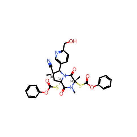 CN1C(=O)[C@@]2(SC(=O)Oc3ccccc3)C[C@](C)(C#N)C(c3ccc(CO)nc3)N2C(=O)[C@]1(C)SC(=O)Oc1ccccc1